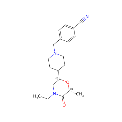 CCN1C[C@H](C2CCN(Cc3ccc(C#N)cc3)CC2)O[C@H](C)C1=O